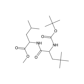 COC(=O)C(CC(C)C)NC(=O)C(CC(C)(C)C)NC(=O)OC(C)(C)C